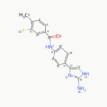 Cc1ccc(C(=O)Nc2ccc(-c3c[nH]c(N)n3)cc2)cc1F